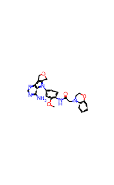 COc1cc(-n2c3c(c4ncnc(N)c42)COC3)ccc1NC(=O)CN1CCOc2ccccc21